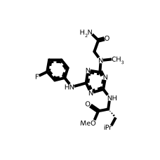 COC(=O)[C@@H](CC(C)C)Nc1nc(Nc2cccc(F)c2)nc(N(C)CC(N)=O)n1